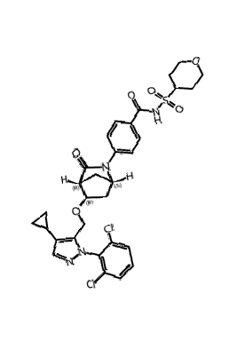 O=C(NS(=O)(=O)C1CCOCC1)c1ccc(N2C(=O)[C@@H]3C[C@H]2C[C@H]3OCc2c(C3CC3)cnn2-c2c(Cl)cccc2Cl)cc1